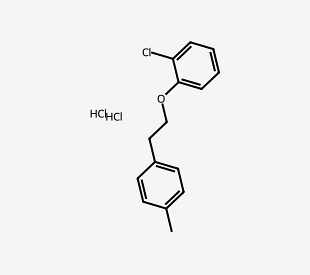 Cc1ccc(CCOc2ccccc2Cl)cc1.Cl.Cl